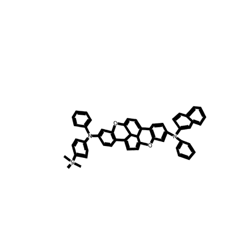 C[Si](C)(C)c1ccc(N(c2ccccc2)c2ccc3c(c2)OC2=CC=C4c5ccc(N(c6ccccc6)c6ccc7ccccc7c6)cc5OC5=CC=C3C2C54)cc1